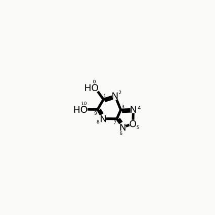 Oc1nc2nonc2nc1O